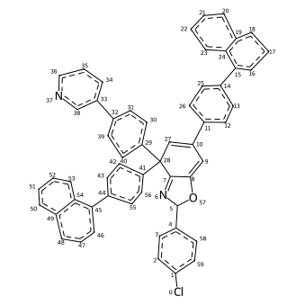 Clc1ccc(C2N=C3C(=CC(c4ccc(-c5cccc6ccccc56)cc4)=CC3(c3ccc(-c4cccnc4)cc3)c3ccc(-c4cccc5ccccc45)cc3)O2)cc1